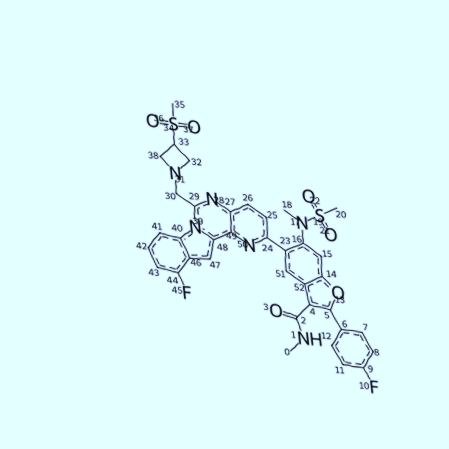 CNC(=O)c1c(-c2ccc(F)cc2)oc2cc(N(C)S(C)(=O)=O)c(-c3ccc4nc(CN5CC(S(C)(=O)=O)C5)n5c6cccc(F)c6cc5c4n3)cc12